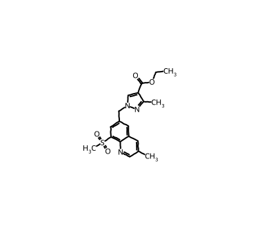 CCOC(=O)c1cn(Cc2cc(S(C)(=O)=O)c3ncc(C)cc3c2)nc1C